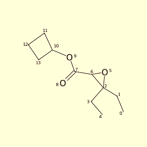 CCC1(CC)OC1C(=O)OC1CCC1